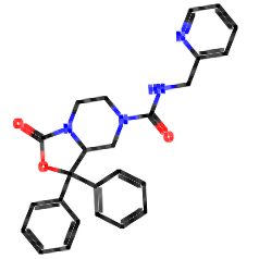 O=C(NCc1ccccn1)N1CCN2C(=O)OC(c3ccccc3)(c3ccccc3)C2C1